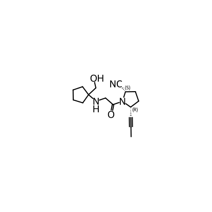 CC#C[C@H]1CC[C@@H](C#N)N1C(=O)CNC1(CO)CCCC1